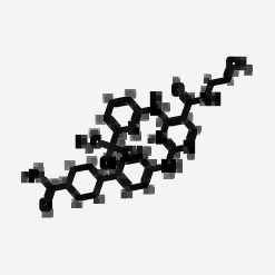 C=CCNC(=O)c1cnc(Nc2ccc(C3CCC(C(=O)CCC)CC3)cc2)nc1Nc1cccc(C(C)(C)O)n1